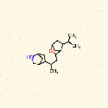 CC(C)C1CC2CC1C(CC(C)C1CC3CC1CN3)O2